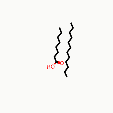 CCCCCCCC(=O)O.CCCCCCCCCCCC